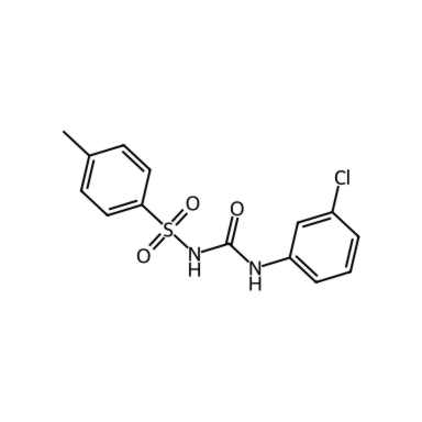 Cc1ccc(S(=O)(=O)NC(=O)Nc2cccc(Cl)c2)cc1